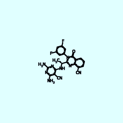 C[C@H](Nc1nc(N)nc(N)c1C#N)c1nc2c(C#N)cccc2c(=O)n1-c1cc(F)cc(F)c1